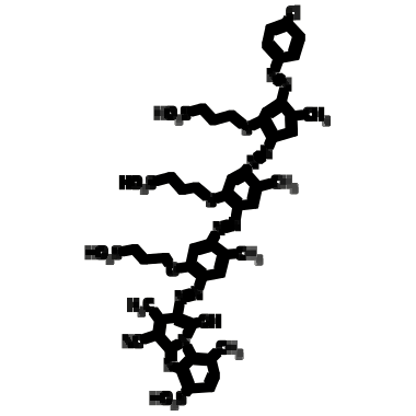 Cc1cc(N=Nc2cc(SCCCS(=O)(=O)O)c(N=Nc3cc(OCCCS(=O)(=O)O)c(N=Nc4c(C)c(C#N)c5nc6c(S(=O)(=O)O)ccc(C)c6n5c4O)cc3C)cc2C)c(SCCCS(=O)(=O)O)cc1N=Nc1ccc(Cl)cc1